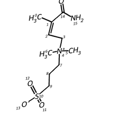 CC(=CC[N+](C)(C)CCCS(=O)(=O)[O-])C(N)=O